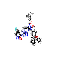 CC(C)(C)[Si](O[C@H]1CC[C@H](n2c(=O)n(COCC[Si](C)(C)C)c3cnc(Nc4cc(F)c[nH]c4=O)nc32)CC1)(c1ccccc1)c1ccccc1